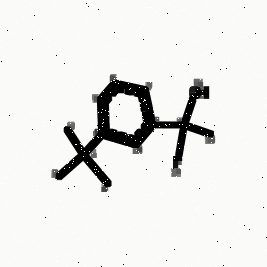 CC(C)(C)c1cccc(C(C)(O)F)c1